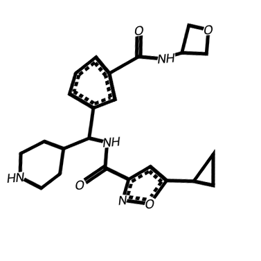 O=C(NC1COC1)c1cccc(C(NC(=O)c2cc(C3CC3)on2)C2CCNCC2)c1